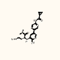 COCC[C@H](Nc1cc(-c2cnc(NC(=O)C3CC3)cn2)cnc1C#N)C(=O)N(C)C